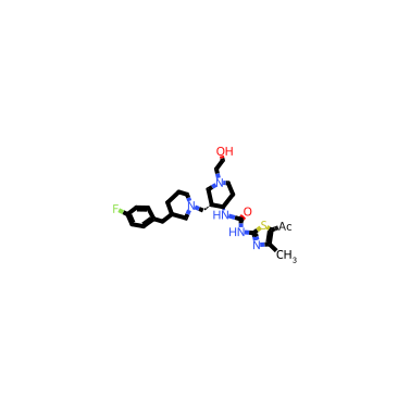 CC(=O)c1sc(NC(=O)N[C@@H]2CCN(CCO)C[C@H]2CN2CCCC(Cc3ccc(F)cc3)C2)nc1C